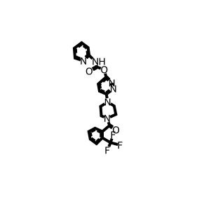 O=C(Nc1ccccn1)Oc1ccc(N2CCN(C(=O)c3ccccc3C(F)(F)F)CC2)nn1